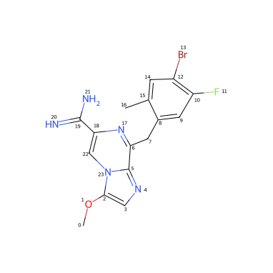 COc1cnc2c(Cc3cc(F)c(Br)cc3C)nc(C(=N)N)cn12